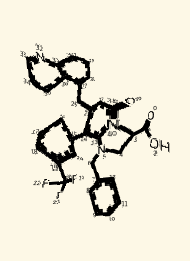 O=C(O)C1CN(Cc2ccccc2)c2c(-c3cccc(C(F)(F)F)c3)c(Cc3cccc4ncccc34)cc(=O)n21